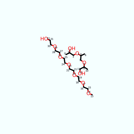 CC(O)COC(C)COC(C)CO.COCCOCCOCCOCCOCCOCCO